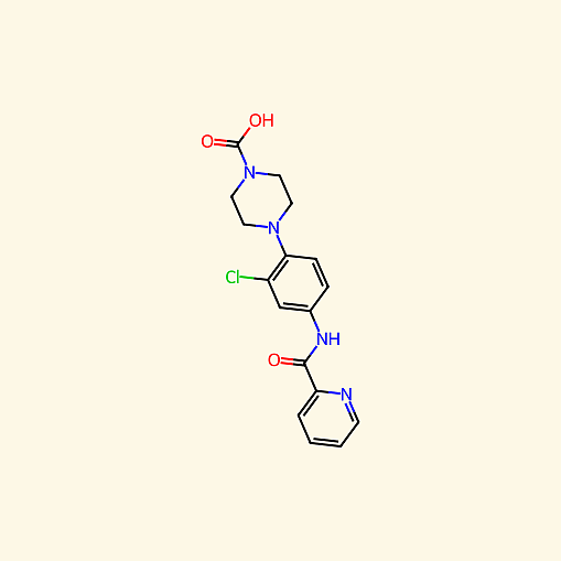 O=C(Nc1ccc(N2CCN(C(=O)O)CC2)c(Cl)c1)c1ccccn1